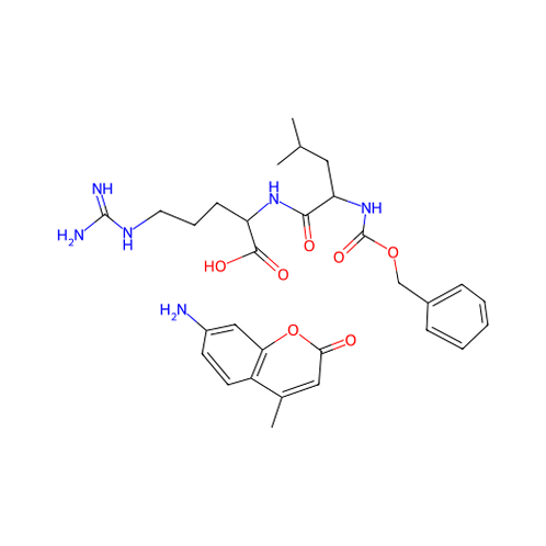 CC(C)CC(NC(=O)OCc1ccccc1)C(=O)NC(CCCNC(=N)N)C(=O)O.Cc1cc(=O)oc2cc(N)ccc12